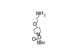 CC(C)(C)C(=O)ON1CCC(OCCCN)CC1